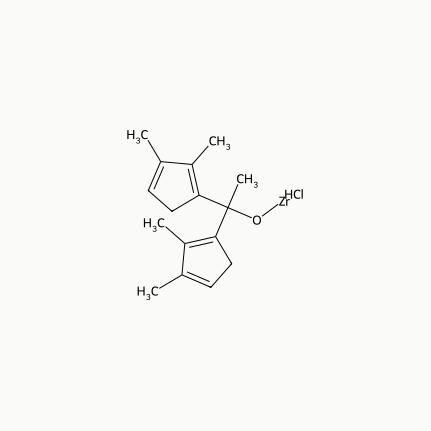 CC1=CCC(C(C)([O][Zr])C2=C(C)C(C)=CC2)=C1C.Cl